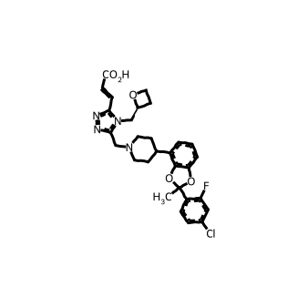 CC1(c2ccc(Cl)cc2F)Oc2cccc(C3CCN(Cc4nnc(/C=C/C(=O)O)n4C[C@@H]4CCO4)CC3)c2O1